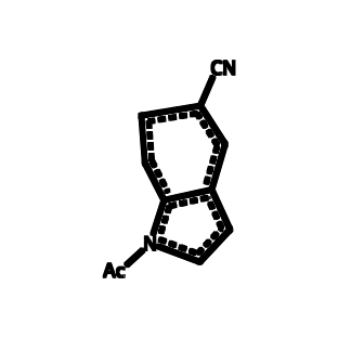 CC(=O)n1ccc2cc(C#N)ccc21